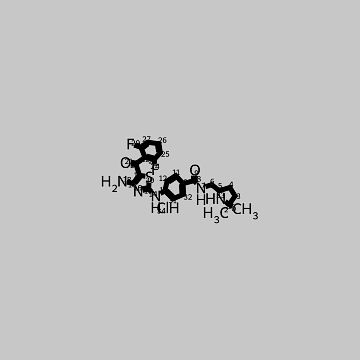 CC1(C)CCC(CNC(=O)c2ccc(Nc3nc(N)c(C(=O)c4c(F)cccc4F)s3)cc2)N1.Cl